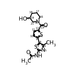 CC(=O)Nc1nc(C)c(-c2ccc(C(=O)N3CCCC(O)C3)s2)s1